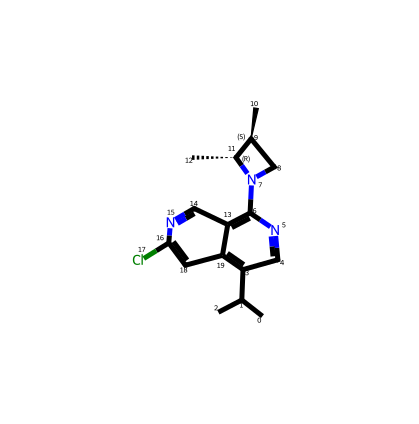 CC(C)c1cnc(N2C[C@H](C)[C@H]2C)c2cnc(Cl)cc12